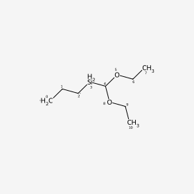 [CH2]C[CH][SiH2]C(OCC)OCC